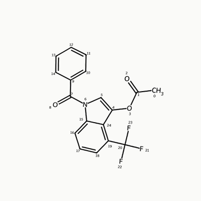 CC(=O)Oc1cn(C(=O)c2ccccc2)c2cccc(C(F)(F)F)c12